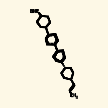 C/C=C/[C@H]1CC[C@H](c2ccc(-c3ccc(C4CCC(C=O)CC4)cc3)cc2)CC1